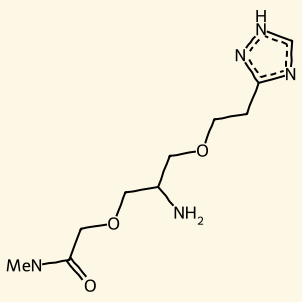 CNC(=O)COCC(N)COCCc1nc[nH]n1